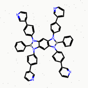 c1ccc(B2N(c3ccc(-c4cccnc4)cc3)c3cc4c(cc3N2c2ccc(-c3cccnc3)cc2)N(c2ccc(-c3cccnc3)cc2)B(c2ccccc2)N4c2ccc(-c3cccnc3)cc2)cc1